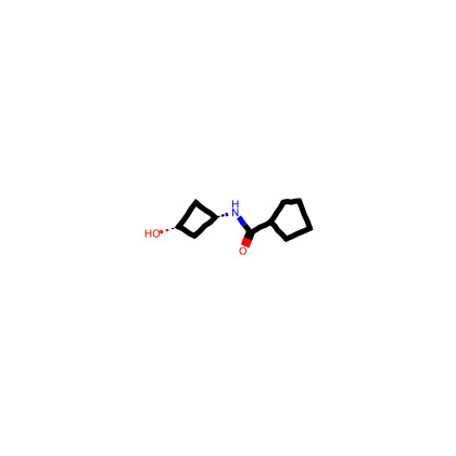 O=C(N[C@H]1C[C@@H](O)C1)C1CCCC1